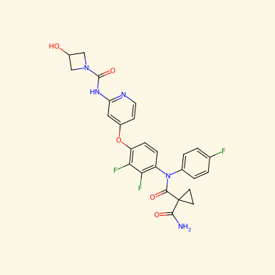 NC(=O)C1(C(=O)N(c2ccc(F)cc2)c2ccc(Oc3ccnc(NC(=O)N4CC(O)C4)c3)c(F)c2F)CC1